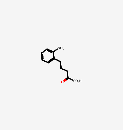 O=C(O)C(=O)CCCc1ccccc1[N+](=O)[O-]